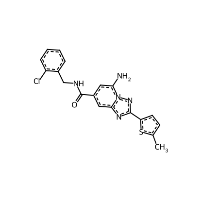 Cc1ccc(-c2nc3cc(C(=O)NCc4ccccc4Cl)cc(N)n3n2)s1